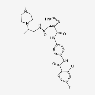 CC(CNC(=O)c1[nH]cnc1C(=O)Nc1ccc(NC(=O)c2ccc(F)cc2Cl)cc1)N1CCN(C)CC1